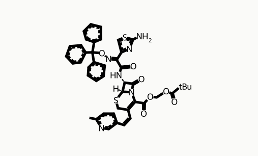 Cc1ccc(/C=C\C2=C(C(=O)OCOC(=O)C(C)(C)C)N3C(=O)[C@@H](NC(=O)C(=NOC(c4ccccc4)(c4ccccc4)c4ccccc4)c4csc(N)n4)[C@@H]3SC2)cn1